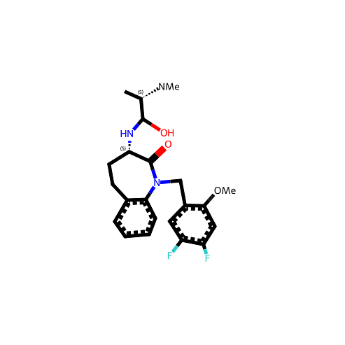 CN[C@@H](C)C(O)N[C@H]1CCc2ccccc2N(Cc2cc(F)c(F)cc2OC)C1=O